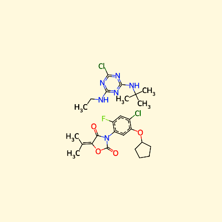 CC(C)=C1OC(=O)N(c2cc(OC3CCCC3)c(Cl)cc2F)C1=O.CCNc1nc(Cl)nc(NC(C)(C)C)n1